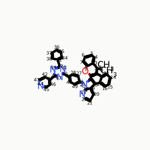 CC1(C)c2ccccc2Oc2c1c1ccccc1c1c3cccnc3n(-c3ccc(-c4nc(-c5ccccc5)nc(-c5ccncc5)n4)cc3)c21